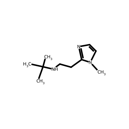 Cn1ccnc1CCNC(C)(C)C